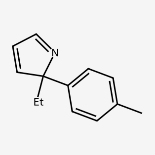 [CH2]CC1(c2ccc(C)cc2)C=CC=N1